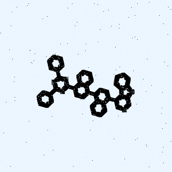 c1ccc(-c2nc(-c3ccccc3)nc(-c3ccc(-c4ccc(-c5cncc6oc7ccccc7c56)c5ccccc45)c4ccccc34)n2)cc1